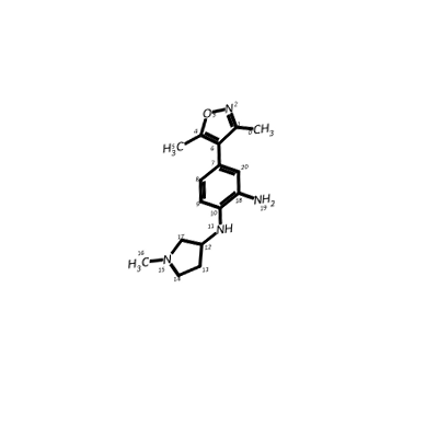 Cc1noc(C)c1-c1ccc(NC2CCN(C)C2)c(N)c1